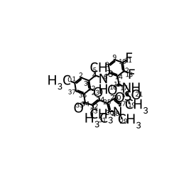 Cc1cc([C@@H](C)Nc2ccc(F)c(F)c2C(=O)NS(C)(=O)=O)c2oc(-c3ccn(C)c3C)c(C)c(=O)c2c1